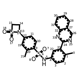 Cc1ccc(NS(=O)(=O)c2ccc(N3CCS3(=O)=O)cc2C)cc1-c1ncc2ccccc2n1